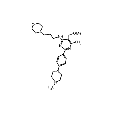 COCc1c(C)nc(-c2ccc(N3CCN(C)CC3)cc2)nc1NCCCN1CCOCC1